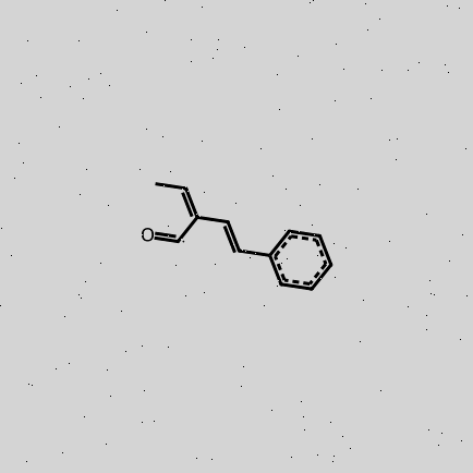 CC=C([C]=O)C=Cc1ccccc1